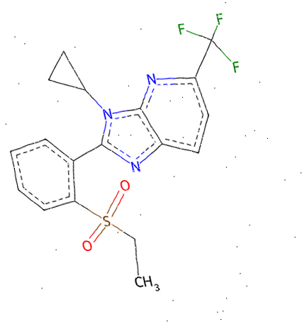 CCS(=O)(=O)c1ccccc1-c1nc2ccc(C(F)(F)F)nc2n1C1CC1